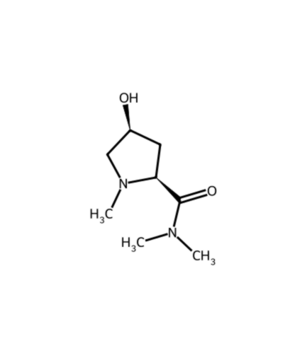 CN(C)C(=O)[C@@H]1C[C@H](O)CN1C